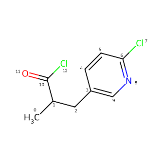 CC(Cc1ccc(Cl)nc1)C(=O)Cl